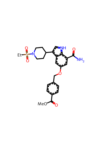 CCS(=O)(=O)N1CCC(c2c[nH]c3c(C(N)=O)cc(OCc4ccc(C(=O)OC)cc4)cc23)CC1